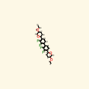 CCOC1CCC(c2ccc(-c3ccc(C4CCC(OCC)CO4)c(F)c3F)c(F)c2F)OC1